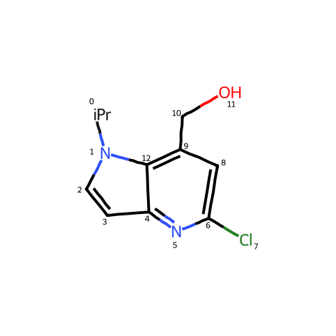 CC(C)n1ccc2nc(Cl)cc(CO)c21